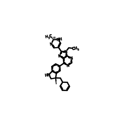 CCn1c(C2=CN[C@@H](C)N=C2)nc2c(-c3ccc4c(c3)C(I)(CC3C=CC=CC3)CN4)ncnc21